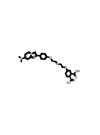 CN(C)c1ccn2cc(-c3ccc(OCCOCCOc4ccc(C(=O)O)c(C(=O)O)c4)cc3)nc2c1